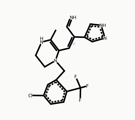 CC1=C(/C=C(\C=N)c2cn[nH]c2)N(Cc2cc(Cl)ccc2C(F)(F)F)CCN1